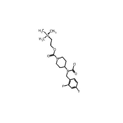 C[Si](C)(C)CCOC(=O)N1CCC(N(Cc2ccc(F)cc2F)C(=O)Cl)CC1